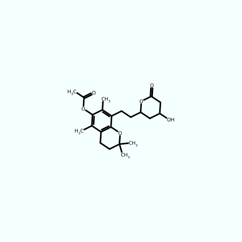 CC(=O)Oc1c(C)c(CCC2CC(O)CC(=O)O2)c2c(c1C)CCC(C)(C)O2